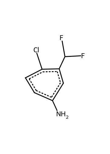 Nc1ccc(Cl)c(C(F)F)c1